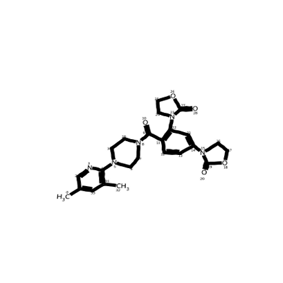 Cc1cnc(N2CCN(C(=O)c3ccc(N4CCOC4=O)cc3N3CCOC3=O)CC2)c(C)c1